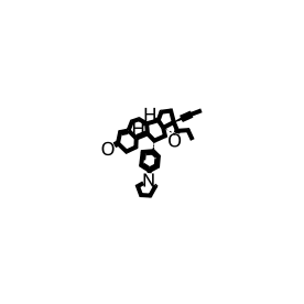 CC#C[C@]1(C(=O)CC)CC[C@H]2[C@@H]3CCC4=CC(=O)CCC4=C3[C@@H](c3ccc(N4CCCC4)cc3)C[C@@]21C